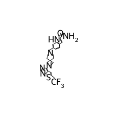 NC(=O)c1cc2ccc(CN3CCC4(CC3)CCN(c3ncnc5sc(CC(F)(F)F)cc35)C4)cc2[nH]1